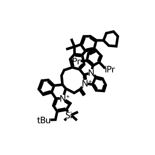 C=C1CC2C(CCc3cc4c(cc3-c3n(-c5c(C(C)C)cccc5C(C)C)c5ccccc5[n+]31)-c1cc(C3CCCCC3)ccc1C4(C)C)c1ccccc1-c1cc(CC(C)(C)C)c([Si](C)(C)C)c[n+]12